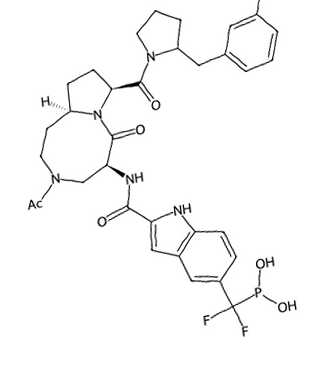 CC(=O)N1CC[C@H]2CC[C@@H](C(=O)N3CCCC3Cc3cccc(Cl)c3)N2C(=O)[C@@H](NC(=O)c2cc3cc(C(F)(F)P(O)O)ccc3[nH]2)C1